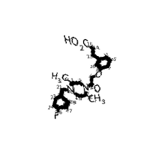 C[C@@H]1CN(C(=O)COc2cccc(CCC(=O)O)c2)[C@@H](C)CN1Cc1ccc(F)cc1